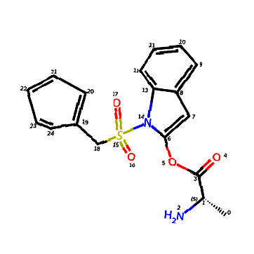 C[C@H](N)C(=O)Oc1cc2ccccc2n1S(=O)(=O)Cc1ccccc1